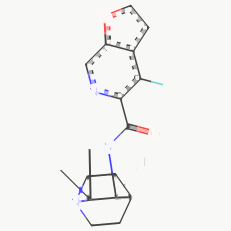 CC1(C)[C@@H](NC(=O)c2ncc3occc3c2F)C2CCN1CC2